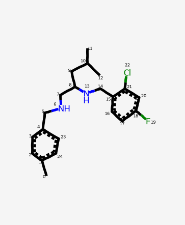 Cc1ccc(CNCC(CC(C)C)NCc2ccc(F)cc2Cl)cc1